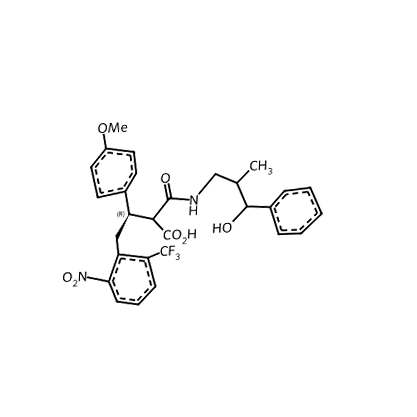 COc1ccc([C@H](Cc2c([N+](=O)[O-])cccc2C(F)(F)F)C(C(=O)O)C(=O)NCC(C)C(O)c2ccccc2)cc1